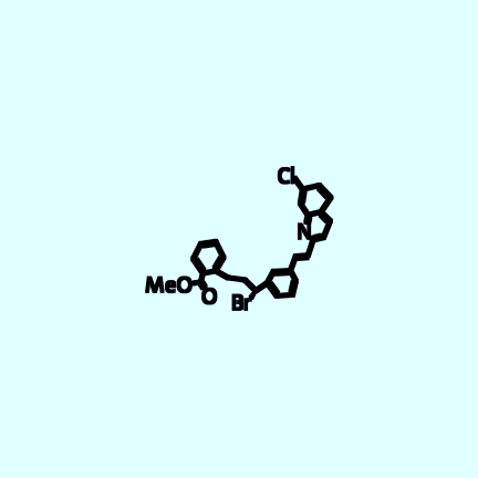 COC(=O)c1ccccc1CC[C@H](Br)c1cccc(C=Cc2ccc3ccc(Cl)cc3n2)c1